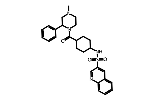 CN1CCN(C(=O)C2CCC(NS(=O)(=O)c3cnc4ccccc4c3)CC2)C(c2ccccc2)C1